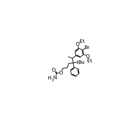 CCOc1cc(C(C)C(CCCOC(N)=O)(c2ccccc2)C(C)(C)C)cc(OCC)c1Br